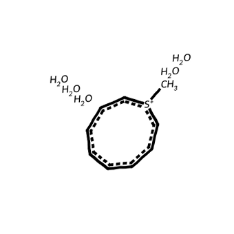 C[s+]1cccccccc1.O.O.O.O.O